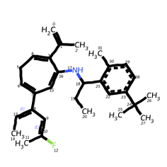 C=C(C)C1=CCC=C(C(/C=C(\C)F)=C/C)C=C1NC(CC)c1cc(C(C)(C)C)ccc1C